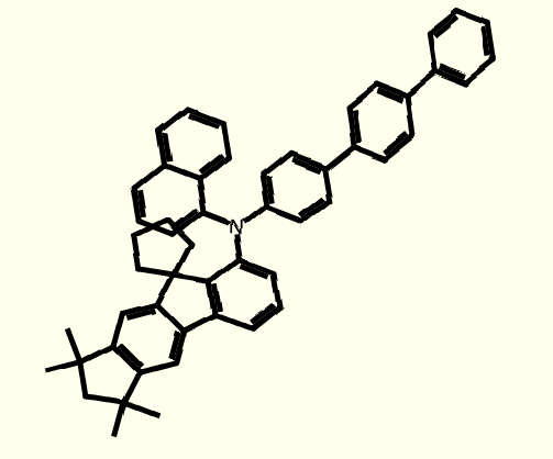 CC1(C)CC(C)(C)c2cc3c(cc21)-c1cccc(N(c2ccc(-c4ccc(-c5ccccc5)cc4)cc2)c2cccc4ccccc24)c1C31CCCC1